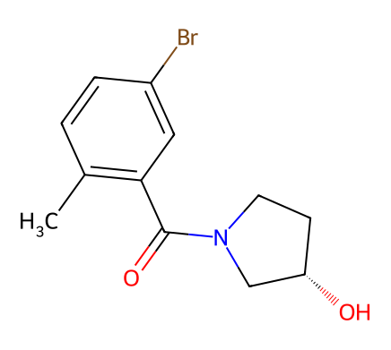 Cc1ccc(Br)cc1C(=O)N1CC[C@H](O)C1